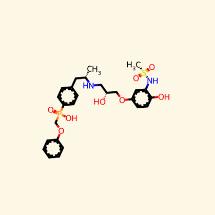 C[C@@H](Cc1ccc(P(=O)(O)COc2ccccc2)cc1)NC[C@@H](O)COc1ccc(O)c(NS(C)(=O)=O)c1